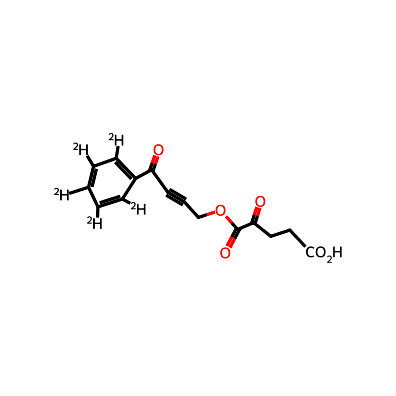 [2H]c1c([2H])c([2H])c(C(=O)C#CCOC(=O)C(=O)CCC(=O)O)c([2H])c1[2H]